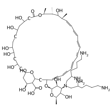 C[C@@H]1OC(=O)CC(O)CC(O)CCC(O)C(O)CC(O)CC2(O)C[C@H](O)C(C(=O)O)C(CC(O[C@@H]3O[C@H](C)C(O)[C@H](N(CC(N)CCCCN)CC(N)CCCCN)[C@@H]3O)/C=C/C=C/C=C/C=C/C=C/C=C/C=C/[C@H](C)C(O)[C@H]1C)O2